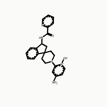 O=C(NC1CC2(CCN(c3cc([N+](=O)[O-])cc[n+]3O)CC2)c2ccccc21)c1ccccn1